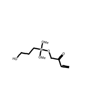 C=CC(=O)CO[Si](CCCO)(OC)OC